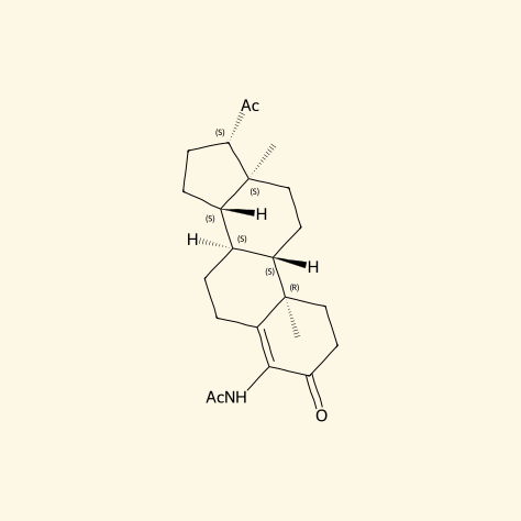 CC(=O)NC1=C2CC[C@H]3[C@@H]4CC[C@H](C(C)=O)[C@@]4(C)CC[C@@H]3[C@@]2(C)CCC1=O